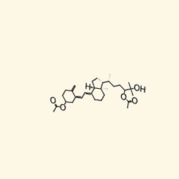 C=C1CC[C@H](OC(C)=O)C/C1=C/C=C1\CCC[C@]2(C)[C@@H]([C@H](C)CCC(OC(C)=O)C(C)(C)O)CC[C@@H]12